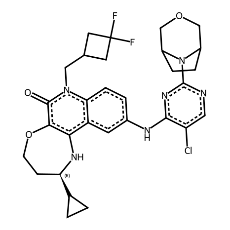 O=c1c2c(c3cc(Nc4nc(N5C6CCC5COC6)ncc4Cl)ccc3n1CC1CC(F)(F)C1)N[C@@H](C1CC1)CCO2